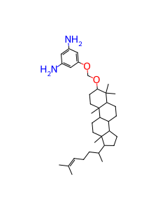 CC(C)=CCCC(C)C1CCC2C3CCC4C(C)(C)C(OCOc5cc(N)cc(N)c5)CCC4(C)C3CCC12C